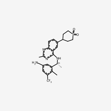 Cc1nc(N[C@H](C)c2cc(N)cc(C(F)(F)F)c2C)c2cc(C3CCS(=O)(=O)CC3)ccc2n1